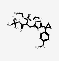 CCOP(=O)(OCC)C(Cc1nc(C2(c3ccc(OC)cc3)CC2)no1)C(=O)OC(C)(C)C